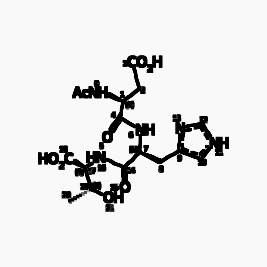 CC(=O)N[C@@H](CC(=O)O)C(=O)N[C@@H](Cc1c[nH]cn1)C(=O)N[C@H](C(=O)O)[C@@H](C)O